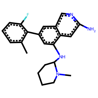 Cc1cccc(F)c1-c1cc(NC2CCCCN2C)c2cc(N)ncc2c1